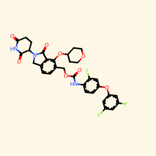 O=C1CCC(N2Cc3ccc(COC(=O)Nc4ccc(Oc5cc(F)cc(F)c5)cc4F)c(OC4CCOCC4)c3C2=O)C(=O)N1